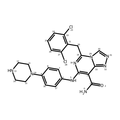 NC(=O)c1c(Nc2ccc(N3CCNCC3)cc2)nc(Cc2c(Cl)cccc2Cl)n2cnnc12